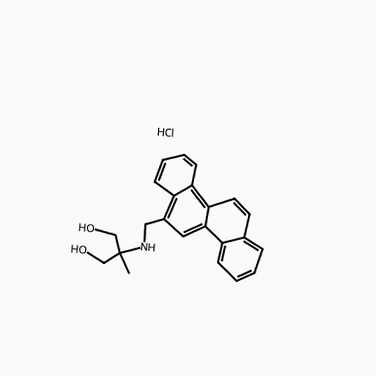 CC(CO)(CO)NCc1cc2c3ccccc3ccc2c2ccccc12.Cl